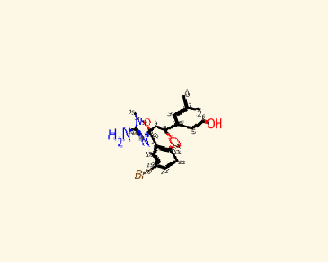 CC(C)=CC(CCO)C1CC2(N=C(N)N(C)O2)c2cc(Br)ccc2O1